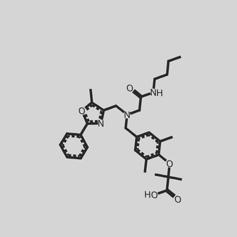 CCCCNC(=O)CN(Cc1cc(C)c(OC(C)(C)C(=O)O)c(C)c1)Cc1nc(-c2ccccc2)oc1C